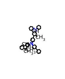 CC1C[C@H]2C(CC1C1C=CC(N(c3ccc4c(c3)C(C)(C)C3CCC=CC43C)C3C=CC(C4=CC=CCC4)=CC3)=CC1)C1=C(CCCC1)N2C1=CCCCC1